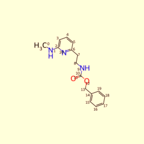 CNc1cccc(CCNC(=O)OCc2ccccc2)n1